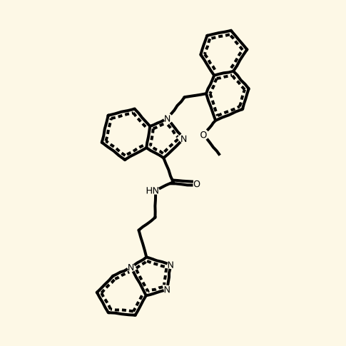 COc1ccc2ccccc2c1Cn1nc(C(=O)NCCc2nnc3ccccn23)c2ccccc21